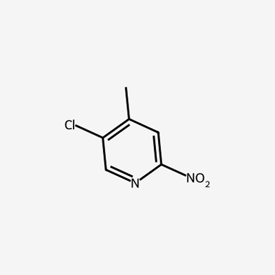 Cc1cc([N+](=O)[O-])ncc1Cl